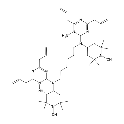 C=CCC1=NC(N(CCCCCCN(C2CC(C)(C)N(O)C(C)(C)C2)C2N=C(CC=C)N=C(CC=C)N2N)C2CC(C)(C)N(O)C(C)(C)C2)N(N)C(CC=C)=N1